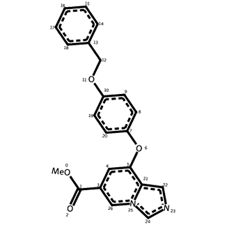 COC(=O)c1cc(Oc2ccc(OCc3ccccc3)cc2)c2cncn2c1